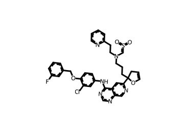 O=S(=O)=CN(CCCC1(c2cc3c(Nc4ccc(OCc5cccc(F)c5)c(Cl)c4)ncnc3cn2)CC=CO1)CCc1ccccn1